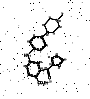 CCOC(=O)c1cnc(Nc2ccc(N3CCN(C)CC3)cc2)nc1C(=O)c1ccco1